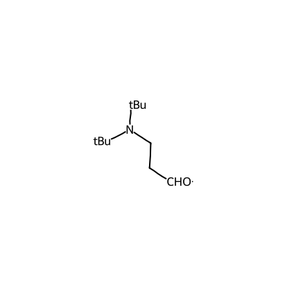 CC(C)(C)N(CC[C]=O)C(C)(C)C